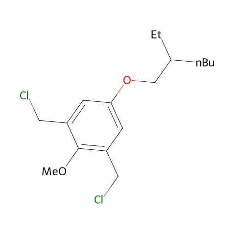 CCCCC(CC)COc1cc(CCl)c(OC)c(CCl)c1